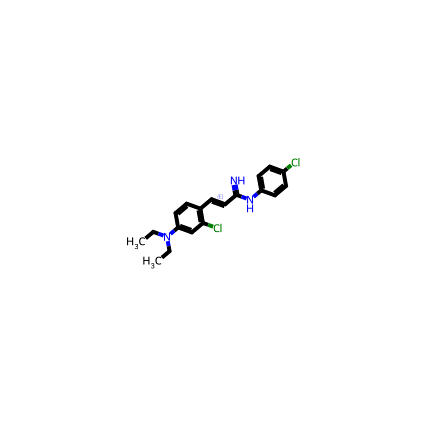 CCN(CC)c1ccc(/C=C/C(=N)Nc2ccc(Cl)cc2)c(Cl)c1